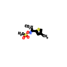 Cc1csc(C(=NOS(C)(=O)=O)C(=O)O)c1